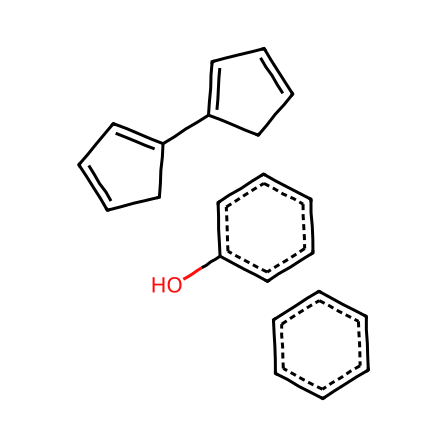 C1=CCC(C2=CC=CC2)=C1.Oc1ccccc1.c1ccccc1